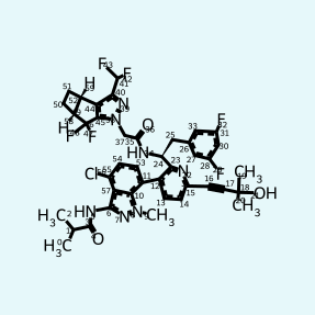 CC(C)C(=O)Nc1nn(C)c2c(-c3ccc(C#CC(C)(C)O)nc3[C@H](Cc3cc(F)cc(F)c3)NC(=O)Cn3nc(C(F)F)c4c3C(F)(F)[C@@H]3CC[C@H]43)ccc(Cl)c12